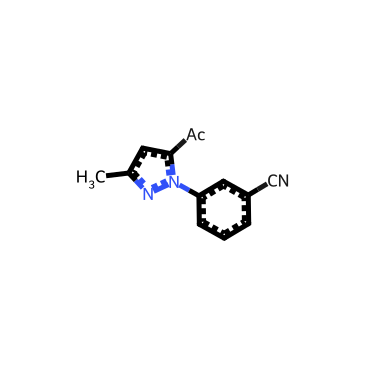 CC(=O)c1cc(C)nn1-c1cccc(C#N)c1